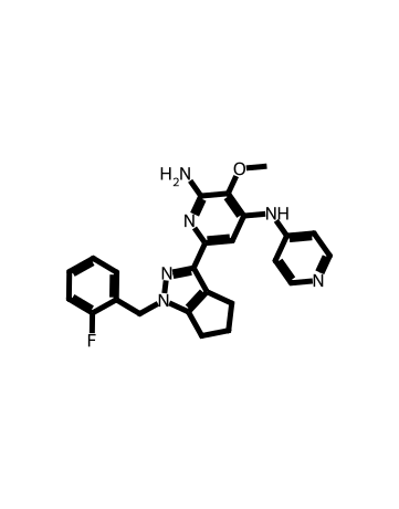 COc1c(Nc2ccncc2)cc(-c2nn(Cc3ccccc3F)c3c2CCC3)nc1N